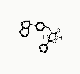 O=C(N[C@@H](Cc1ccc(-c2cccc3ccccc23)cc1)C(=O)O)c1ccccc1